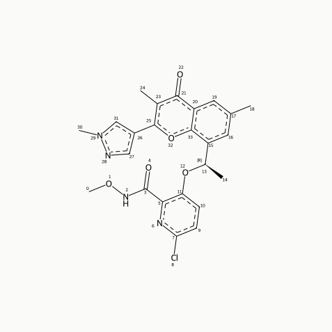 CONC(=O)c1nc(Cl)ccc1O[C@H](C)c1cc(C)cc2c(=O)c(C)c(-c3cnn(C)c3)oc12